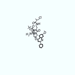 COc1ccc2c(O[C@@H]3C[C@@H](C(N)=O)N(C(=O)[C@H](CCNC(=O)C(C)CCl)NC(=O)OC(C)(C)C)C3)cc(-c3ccccc3)nc2c1